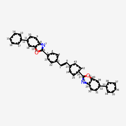 C(=C\c1ccc(-c2nc3ccc(-c4ccccc4)cc3o2)cc1)/c1ccc(-c2nc3ccc(-c4ccccc4)cc3o2)cc1